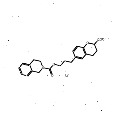 O=C([O-])C1CCc2cc(CCCOC(=O)N3CCc4ccccc4C3)ccc2O1.[Li+]